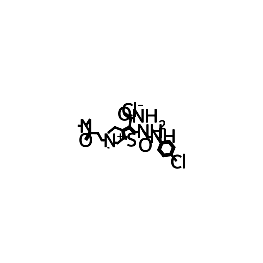 CN(C)C(=O)CC[N+]1(C)CCc2c(sc(NC(=O)Nc3ccc(Cl)cc3)c2C(N)=O)C1.[Cl-]